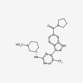 O=C(O)N1CCC[C@H](Nc2ncc(C(F)(F)F)c(-c3c[nH]c4cc(C(=O)N5CCCC5)ccc34)n2)C1